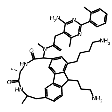 C=C(Cc1c(C)nc(-c2ccccc2C)nc1N)N(C)C1C(=O)N[C@@H](C)C(=O)NC(C)Cc2ccc3c(c2)-c2cc1cc(CCCCN)c2C3CCCN